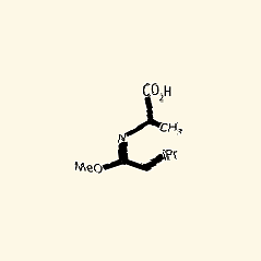 COC(CC(C)C)=NC(C)C(=O)O